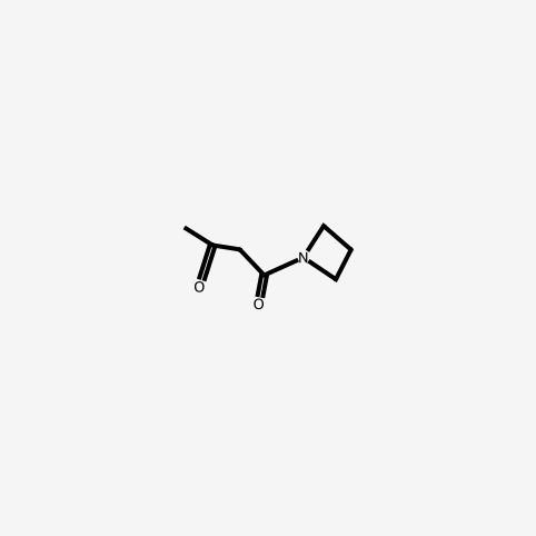 CC(=O)CC(=O)N1CCC1